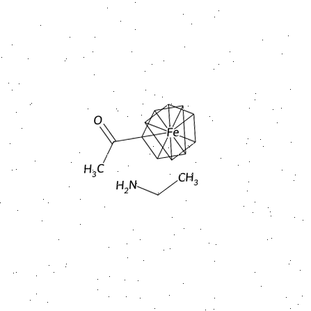 CC(=O)[C]12[CH]3[CH]4[CH]5[CH]1[Fe]45321678[CH]2[CH]1[CH]6[CH]7[CH]28.CCN